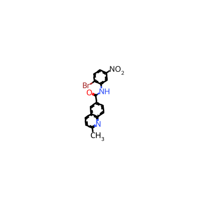 Cc1ccc2cc(C(=O)Nc3cc([N+](=O)[O-])ccc3Br)ccc2n1